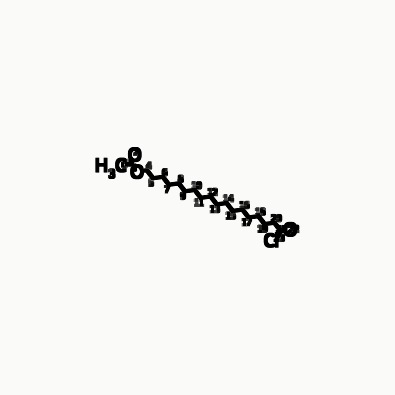 CC(=O)OCCCCCCCCCCCCCCCCCC(=O)Cl